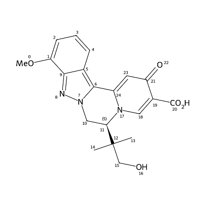 COc1cccc2c3n(nc12)C[C@H](C(C)(C)CO)n1cc(C(=O)O)c(=O)cc1-3